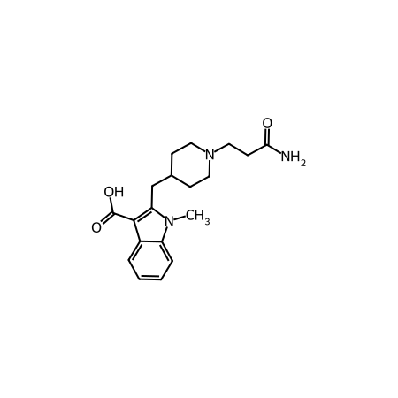 Cn1c(CC2CCN(CCC(N)=O)CC2)c(C(=O)O)c2ccccc21